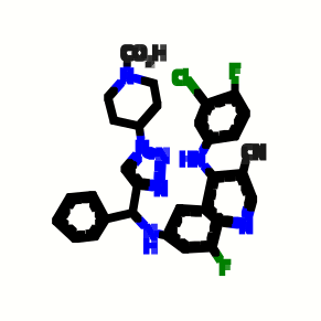 N#Cc1cnc2c(F)cc(NC(c3ccccc3)c3cn(C4CCN(C(=O)O)CC4)nn3)cc2c1Nc1ccc(F)c(Cl)c1